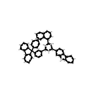 c1ccc(C2(c3cccc(-c4nc(-c5ccc6c(c5)oc5ccccc56)nc(-c5cccc6ccccc56)n4)c3)c3ccccc3-c3ccccc32)cc1